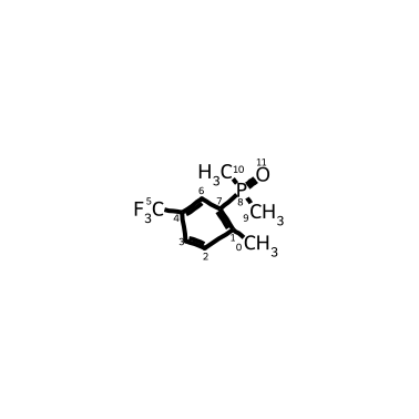 Cc1ccc(C(F)(F)F)cc1P(C)(C)=O